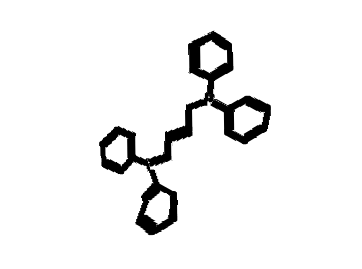 C(=CCP(c1ccccc1)c1ccccc1)CP(c1ccccc1)c1ccccc1